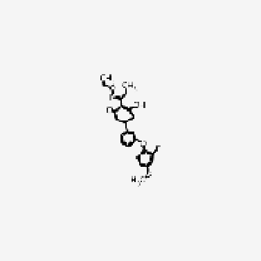 CCON=C(CC)C1=C(O)CC(c2cccc(Oc3ccc(SC)cc3F)c2)CC1=O